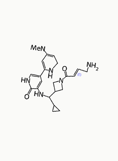 CNC1=CCNC(c2c[nH]c(=O)c(NC(C3CC3)C3CN(C(=O)/C=C/CN)C3)c2)=C1